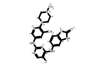 Cc1cc(Nc2ncc(F)c(Nc3ccc4oc(=O)[nH]c4c3)n2)cnc1N1CCN(C)CC1